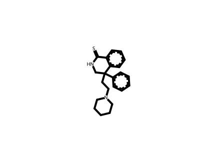 S=C1NCC(CCN2CCCCC2)(c2ccccc2)c2ccccc21